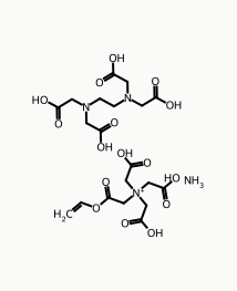 C=COC(=O)C[N+](CC(=O)O)(CC(=O)O)CC(=O)O.N.O=C(O)CN(CCN(CC(=O)O)CC(=O)O)CC(=O)O